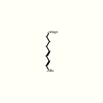 [CH2]CCCC=CC=CCCCCCCCCCC